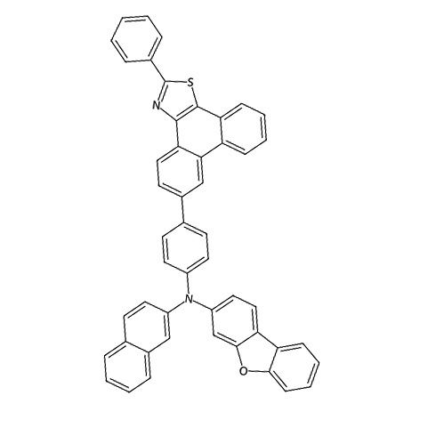 c1ccc(-c2nc3c4ccc(-c5ccc(N(c6ccc7ccccc7c6)c6ccc7c(c6)oc6ccccc67)cc5)cc4c4ccccc4c3s2)cc1